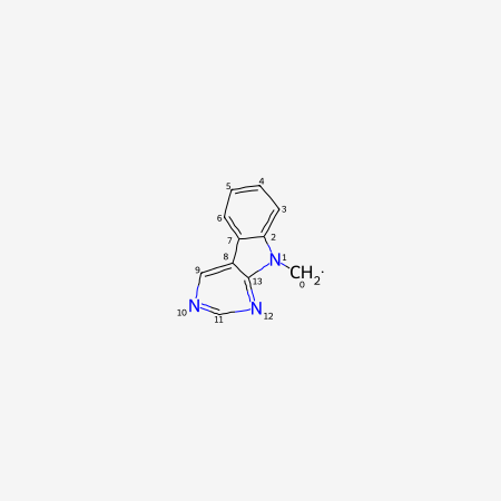 [CH2]n1c2ccccc2c2cncnc21